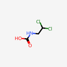 O=C(O)NCC(Cl)Cl